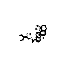 CCC(CC)[C@H](O)CSC(C)C1=CC[C@H]2C3=CC=C4CCCC(O)(O)[C@]4(C)[C@H]3CC[C@]12C